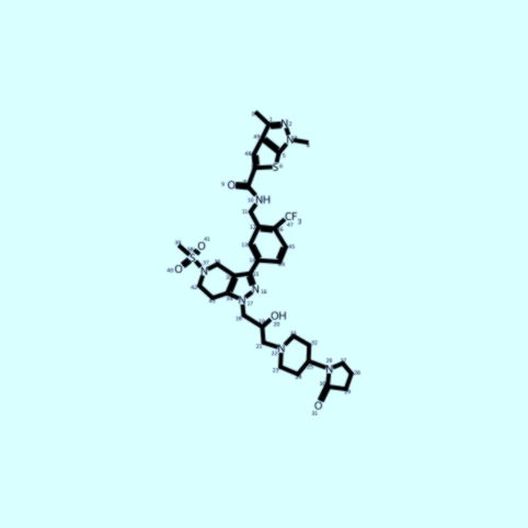 Cc1nn(C)c2sc(C(=O)NCc3cc(-c4nn(CC(O)CN5CCC(N6CCCC6=O)CC5)c5c4CN(S(C)(=O)=O)CC5)ccc3C(F)(F)F)cc12